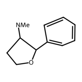 CNC1CCOC1c1ccccc1